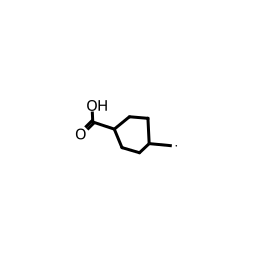 [CH2]C1CCC(C(=O)O)CC1